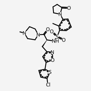 Cc1c(N2CCCC2=O)cccc1S(=O)(=O)N[C@@H](Cc1cc(-c2ccc(Cl)s2)on1)C(=O)N1CCN(C)CC1